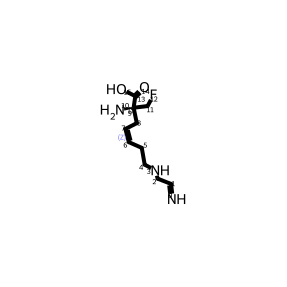 N=CCNCC/C=C\C[C@@](N)(CF)C(=O)O